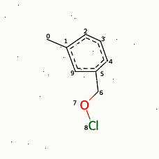 Cc1cccc(COCl)c1